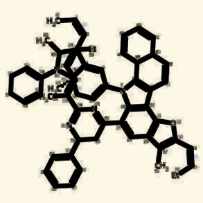 C/C=C\C1C2=CC(n3c4c(c5c6oc(/C=C\CC)c(C)c6cc(C6=NC(/C(C)=C/C=C\CC)=NC(c7ccccc7)C6)c53)C=CC3C=CC=CC43)=CC[C@@]2(C)N(C2=CCCC=C2)C1C